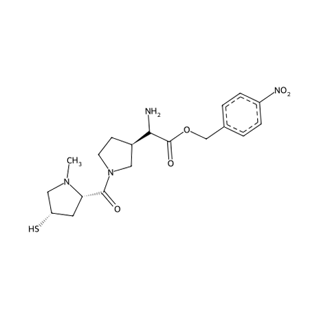 CN1C[C@@H](S)C[C@H]1C(=O)N1CC[C@@H](C(N)C(=O)OCc2ccc([N+](=O)[O-])cc2)C1